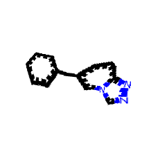 c1ccc(-c2ccc3nncn3c2)cc1